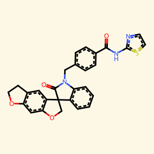 O=C(Nc1nccs1)c1ccc(CN2C(=O)C3(COc4cc5c(cc43)CCO5)c3ccccc32)cc1